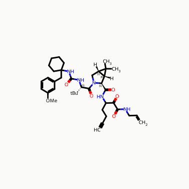 C#CCCC(NC(=O)[C@@H]1[C@@H]2[C@H](CN1C(=O)[C@@H](NC(=O)NC1(Cc3cccc(OC)c3)CCCCC1)C(C)(C)C)C2(C)C)C(=O)C(=O)NCC=C